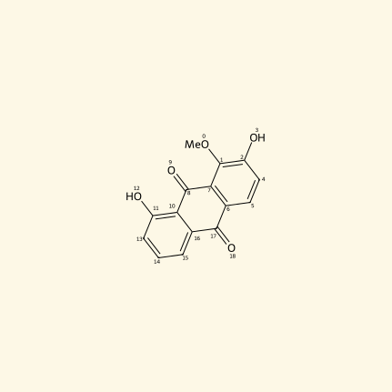 COc1c(O)ccc2c1C(=O)c1c(O)cccc1C2=O